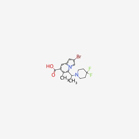 Cc1c(C(=O)O)cc2cc(Br)cn2c1C(C)N1CCC(F)(F)CC1